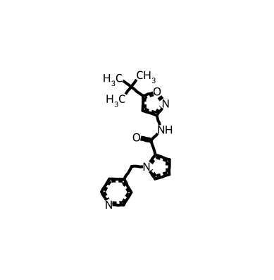 CC(C)(C)c1cc(NC(=O)c2cccn2Cc2ccncc2)no1